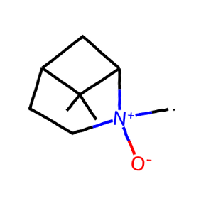 [CH2][N+]1([O-])CCC2CC1C2(C)C